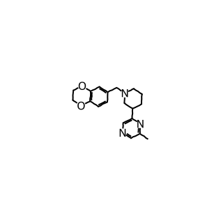 Cc1cncc(C2CCCN(Cc3ccc4c(c3)OCCO4)C2)n1